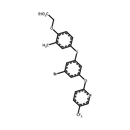 CCOC(=O)COc1ccc(Sc2cc(Br)cc(Oc3ccc(C(F)(F)F)cn3)c2)cc1C